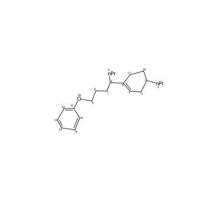 CCCC1CC=C(C(CCC)CCCOc2ccccc2)CC1